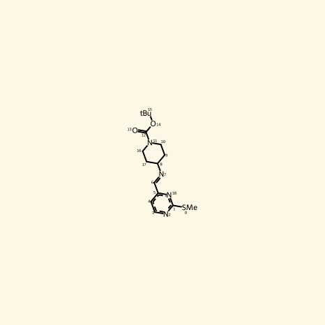 CSc1nccc(/C=N/C2CCN(C(=O)OC(C)(C)C)CC2)n1